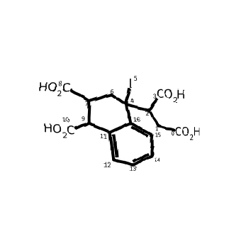 O=C(O)CC(C(=O)O)C1(I)CC(C(=O)O)C(C(=O)O)c2ccccc21